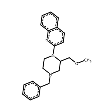 COCC1CN(Cc2ccccc2)CCN1c1ccc2ccccc2n1